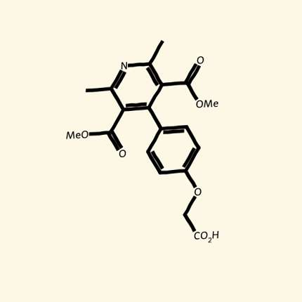 COC(=O)c1c(C)nc(C)c(C(=O)OC)c1-c1ccc(OCC(=O)O)cc1